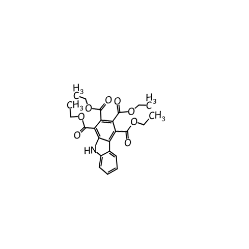 CCOC(=O)c1c(C(=O)OCC)c(C(=O)OCC)c2c([nH]c3ccccc32)c1C(=O)OCC